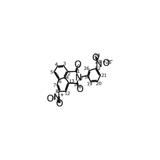 O=C1c2cccc3cc([N+](=O)[O-])cc(c23)C(=O)N1c1cccc([N+](=O)[O-])c1